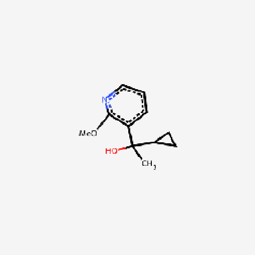 COc1ncccc1C(C)(O)C1CC1